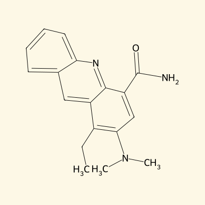 CCc1c(N(C)C)cc(C(N)=O)c2nc3ccccc3cc12